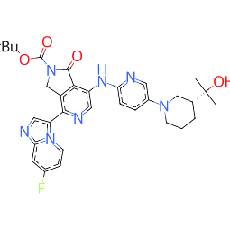 CC(C)(C)OC(=O)N1Cc2c(-c3cnc4cc(F)ccn34)ncc(Nc3ccc(N4CCC[C@@H](C(C)(C)O)C4)cn3)c2C1=O